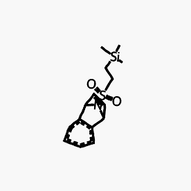 C[Si](C)(C)CCS(=O)(=O)N1C2C=CC1c1ccccc12